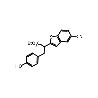 CCOC(=O)C(Cc1ccc(O)cc1)c1cc2cc(C#N)ccc2s1